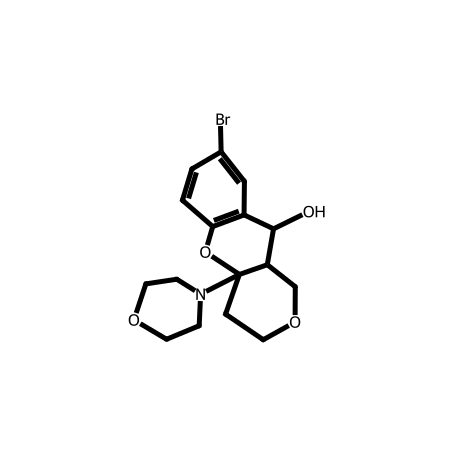 OC1c2cc(Br)ccc2OC2(N3CCOCC3)CCOCC12